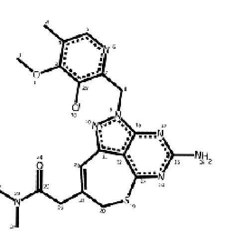 COc1c(C)cnc(Cn2nc3c4c(nc(N)nc42)SCC(CC(=O)N(C)C)=C3)c1Cl